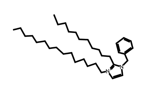 CCCCCCCCCCCCCCC[n+]1ccn(Cc2ccccc2)c1CCCCCCCCCCC